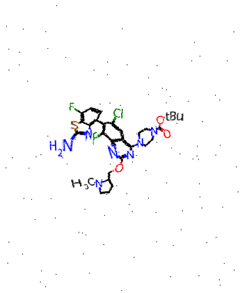 CN1CCCC1COc1nc(N2CCN(C(=O)OC(C)(C)C)CC2)c2cc(Cl)c(-c3ccc(F)c4sc(N)nc34)c(F)c2n1